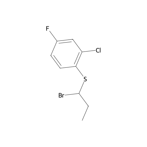 CCC(Br)Sc1ccc(F)cc1Cl